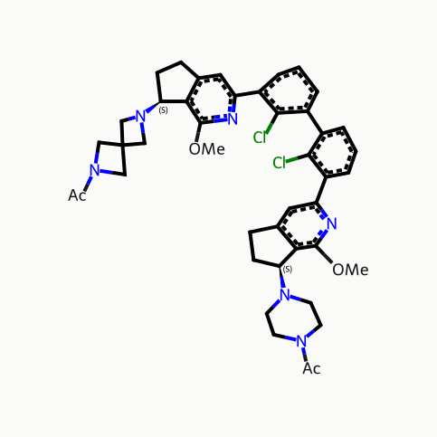 COc1nc(-c2cccc(-c3cccc(-c4cc5c(c(OC)n4)[C@@H](N4CC6(CN(C(C)=O)C6)C4)CC5)c3Cl)c2Cl)cc2c1[C@@H](N1CCN(C(C)=O)CC1)CC2